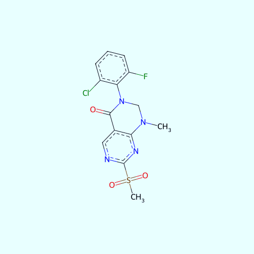 CN1CN(c2c(F)cccc2Cl)C(=O)c2cnc(S(C)(=O)=O)nc21